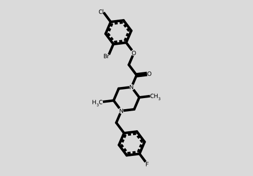 CC1CN(C(=O)COc2ccc(Cl)cc2Br)C(C)CN1Cc1ccc(F)cc1